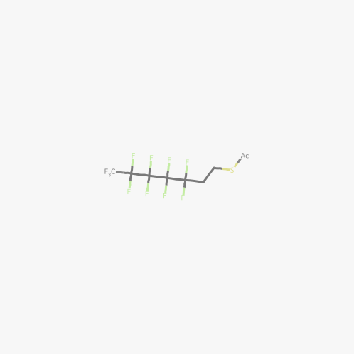 CC(=O)SCCC(F)(F)C(F)(F)C(F)(F)C(F)(F)C(F)(F)F